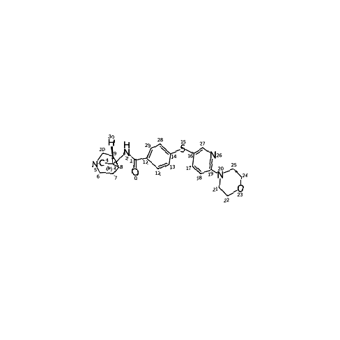 O=C(N[C@H]1CN2CCC1CC2)c1ccc(Sc2ccc(N3CCOCC3)nc2)cc1